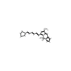 CC1=CC(/C=C/C=C/C=C/N2CCCC2)=[N+]2C1=Cc1cccn1[B-]2(F)F